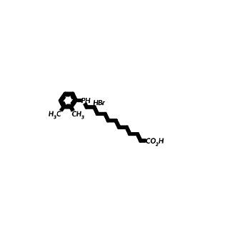 Br.Cc1cccc(PCCCCCCCCCCCC(=O)O)c1C